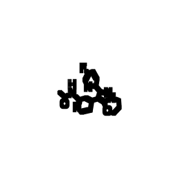 CC(=O)Nc1cc(-c2c(-c3ccc(F)cn3)nn3c2OCCC3)ccn1